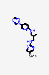 CSc1cnc(NCC(C)CNc2ccc(-n3cncn3)cn2)nc1